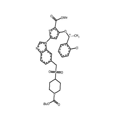 COC(=O)c1sc(-n2cnc3ccc(CS(=O)(=O)C4CCN(C(=O)OCC(C)C)CC4)cc32)cc1O[C@H](C)c1ccccc1Cl